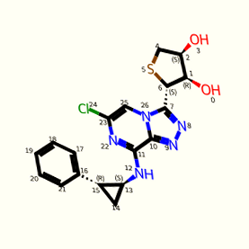 O[C@@H]1[C@H](O)CS[C@H]1c1nnc2c(N[C@H]3C[C@@H]3c3ccccc3)nc(Cl)cn12